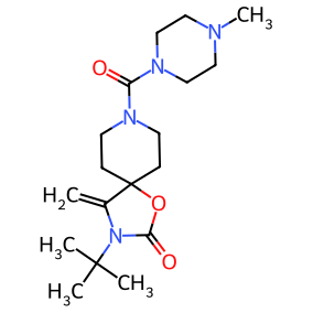 C=C1N(C(C)(C)C)C(=O)OC12CCN(C(=O)N1CCN(C)CC1)CC2